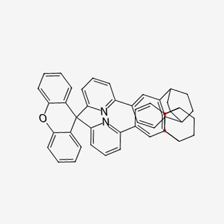 c1cc(-c2ccc3c(c2)C2CCC3CC2)nc(C2(c3cccc(-c4ccc5c(c4)C4CCC5CC4)n3)c3ccccc3Oc3ccccc32)c1